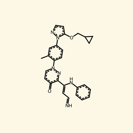 Cc1cc(-n2nccc2OCC2CC2)ccc1-n1ccc(=O)c(/C(=C/C=N)Nc2ccccc2)n1